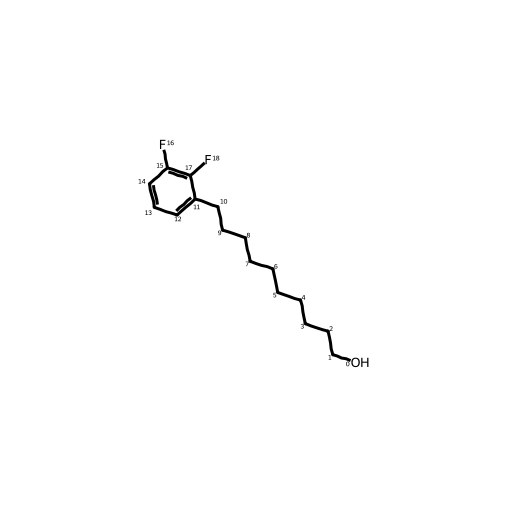 OCCCCCCCCCCc1cccc(F)c1F